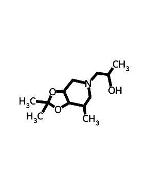 CC(O)CN1CC(C)C2OC(C)(C)OC2C1